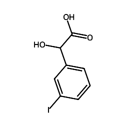 O=C(O)C(O)c1cccc(I)c1